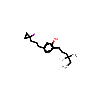 CCC(C)(C)CCCc1ccc(CCCC2(I)CC2)cc1O